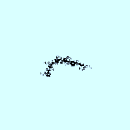 CN(C)CCCNC(=O)c1ccc2[nH]c(-c3cc(N(N)C(=O)c4cc(NC(=O)c5nc(NC(=O)c6nccn6C)cn5C)cn4C)cn3C)nc2c1